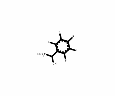 CCOC(=O)C(C#N)c1c(F)c(F)c(F)c(F)c1F